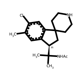 CC(=O)NC(C)(C)[C@@H]1CC2(CCNCC2)c2cc(Cl)c(C)cc21